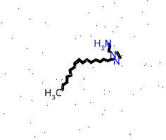 CCCCCCCC/C=C\CCCCCCCC1=NCCN1CCN